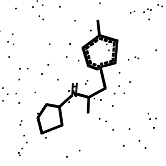 Cc1ccc(CC(C)NC2CCCC2)cc1